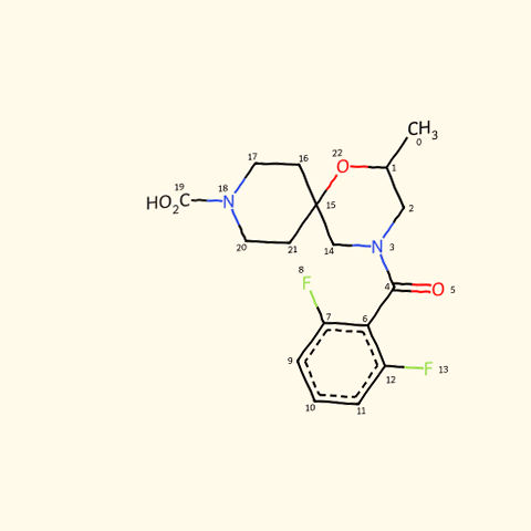 CC1CN(C(=O)c2c(F)cccc2F)CC2(CCN(C(=O)O)CC2)O1